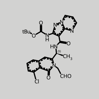 C[C@H](NC(=O)c1c(NC(=O)OC(C)(C)C)nn2cccnc12)c1cc2cccc(Cl)c2c(=O)n1CC=O